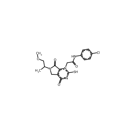 COCC(C)N1Cc2c(n(CC(=O)Nc3ccc(Cl)cc3)c(S)nc2=O)C1=O